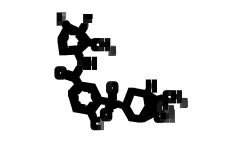 Cc1c(NC(=O)c2ccc(Cl)c(S(=O)(=O)[C@@H]3CC4C[C@H](C)[C@@H](C3)[C@]4(C)O)c2)ccc(F)c1F